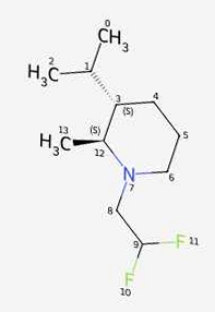 CC(C)[C@@H]1CCCN(CC(F)F)[C@H]1C